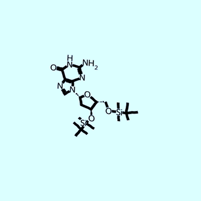 CC(C)(C)[Si](C)(C)OC[C@H]1O[C@@H](n2cnc3c(=O)[nH]c(N)nc32)C[C@@H]1O[Si](C)(C)C(C)(C)C